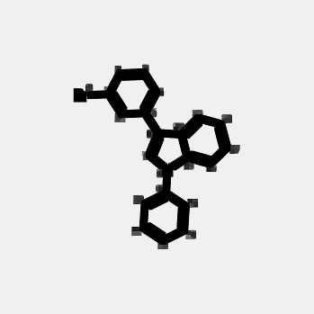 Brc1cccc(-c2cn(-c3ccccc3)c3ccccc23)c1